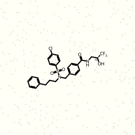 O=C(NC[C@H](O)C(F)(F)F)c1ccc(CN(CCCc2ccccc2)S(=O)(=O)c2ccc(Cl)cc2)cc1